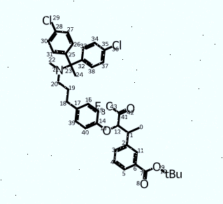 CC(c1cccc(C(=O)OC(C)(C)C)c1)C(Oc1ccc(CCCN(C)C(C)(c2ccc(Cl)cc2)c2ccc(Cl)cc2)cc1)C(=O)C(F)(F)F